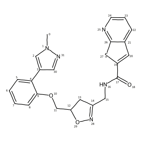 Cn1cc(-c2ccccc2OCC2CC(CNC(=O)c3cc4cccnc4s3)=NO2)cn1